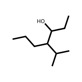 CCCC(C(C)C)C(O)CC